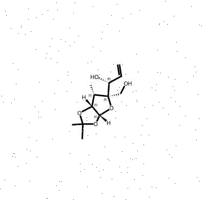 C=C[C@@H](O)[C@@]1(CO)O[C@@H]2OC(C)(C)O[C@@H]2[C@@H]1C